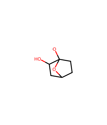 [O]C12CCC(CC1O)O2